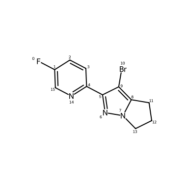 Fc1ccc(-c2nn3c(c2Br)CCC3)nc1